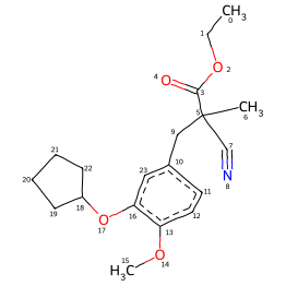 CCOC(=O)C(C)(C#N)Cc1ccc(OC)c(OC2CCCC2)c1